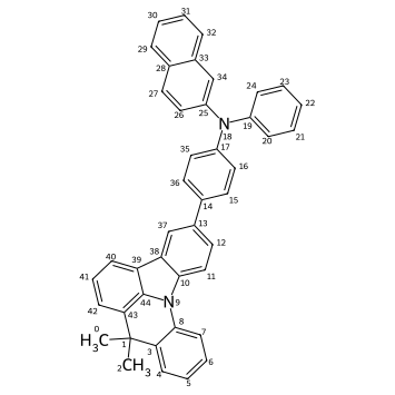 CC1(C)c2ccccc2-n2c3ccc(-c4ccc(N(c5ccccc5)c5ccc6ccccc6c5)cc4)cc3c3cccc1c32